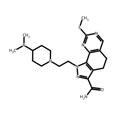 CSc1ncc2c(n1)-c1c(c(C(N)=O)nn1CCN1CCC(N(C)C)CC1)CC2